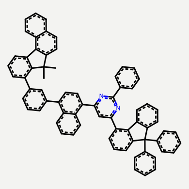 CC1(C)c2ccc3ccccc3c2-c2cccc(-c3cccc(-c4ccc(-c5cc(-c6cccc7c6-c6ccccc6C7(c6ccccc6)c6ccccc6)nc(-c6ccccc6)n5)c5ccccc45)c3)c21